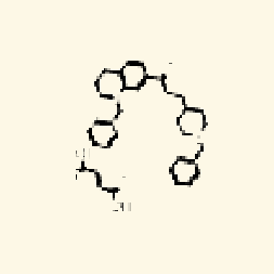 O=C(CCC1CCN(Cc2ccccc2)CC1)c1ccc2c(c1)N(Cc1ccccc1)CCC2.O=C(O)/C=C/C(=O)O